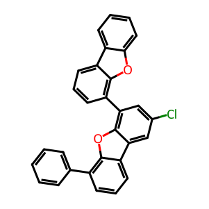 Clc1cc(-c2cccc3c2oc2ccccc23)c2oc3c(-c4ccccc4)cccc3c2c1